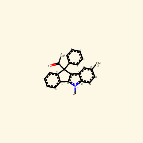 COC(=O)C1(c2ccccc2)c2ccccc2-c2c1c1cc(C#N)ccc1n2C